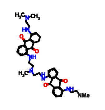 CNCCNc1cccc2c1C(=O)c1cccc(NCCN(C)CCNc3cccc4c3C(=O)C3=C(C4=O)C(NCCN(C)C)=CCC3)c1C2=O